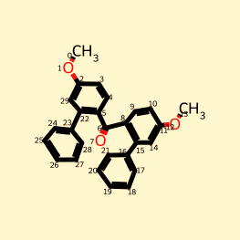 COc1ccc(C(=O)c2ccc(OC)cc2-c2ccccc2)c(-c2ccccc2)c1